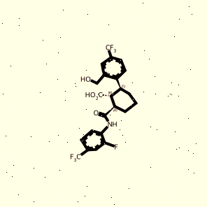 O=C(O)[C@@H]1[C@@H](c2ccc(C(F)(F)F)cc2CO)CCC[C@H]1C(=O)Nc1ccc(C(F)(F)F)cc1F